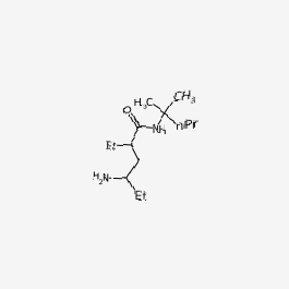 CCCC(C)(C)NC(=O)C(CC)CC(N)CC